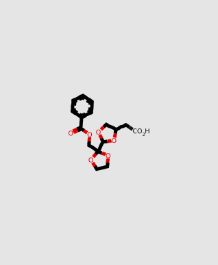 O=C(O)CC1COC(C2(COC(=O)c3ccccc3)OCCO2)O1